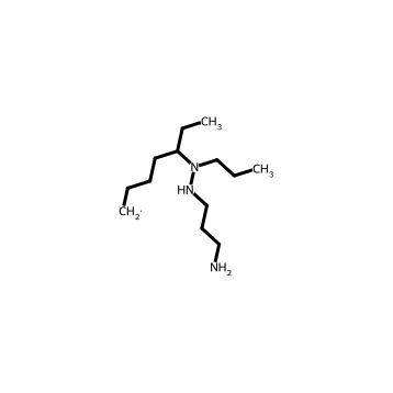 [CH2]CCCC(CC)N(CCC)NCCCN